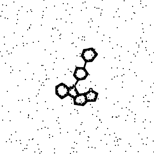 c1ccc(-c2ccc(-n3c4ccccc4c4ccc5ccoc5c43)cc2)cc1